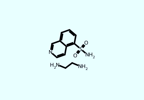 NCCN.NS(=O)(=O)c1cccc2cnccc12